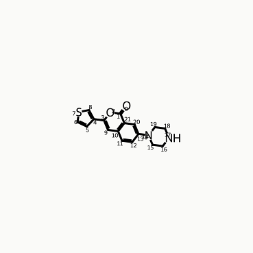 O=c1oc(-c2ccsc2)cc2ccc(N3CCNCC3)cc12